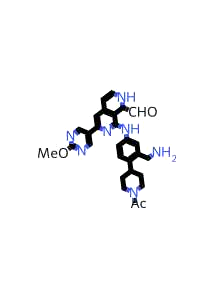 COc1ncc(-c2cc3c(c(Nc4ccc(C5CCN(C(C)=O)CC5)c(CN)c4)n2)C(C=O)NC=C3)cn1